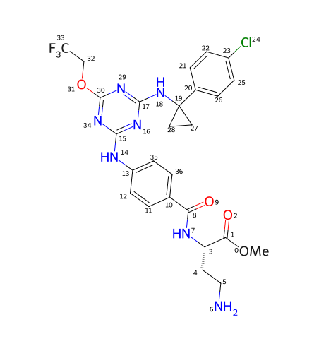 COC(=O)[C@H](CCN)NC(=O)c1ccc(Nc2nc(NC3(c4ccc(Cl)cc4)CC3)nc(OCC(F)(F)F)n2)cc1